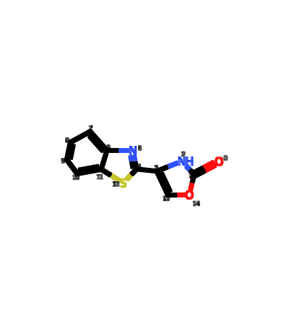 O=c1[nH]c(-c2nc3ccccc3s2)co1